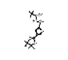 C[C@@H](N[S+]([O-])C(C)(C)C)c1cc(B2OC(C)(C)C(C)(C)O2)cs1